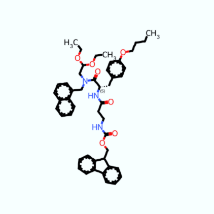 CCCCOc1ccc(C[C@H](NC(=O)CCNC(=O)OCC2c3ccccc3-c3ccccc32)C(=O)N(Cc2cccc3ccccc23)CC(OCC)OCC)cc1